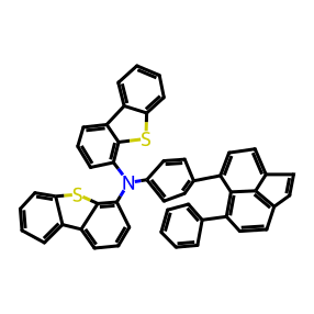 C1=Cc2ccc(-c3ccc(N(c4cccc5c4sc4ccccc45)c4cccc5c4sc4ccccc45)cc3)c3c(-c4ccccc4)ccc1c23